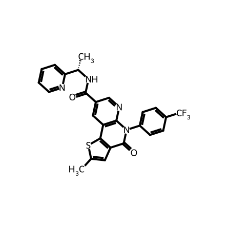 Cc1cc2c(=O)n(-c3ccc(C(F)(F)F)cc3)c3ncc(C(=O)N[C@@H](C)c4ccccn4)cc3c2s1